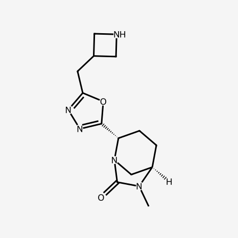 CN1C(=O)N2C[C@H]1CC[C@H]2c1nnc(CC2CNC2)o1